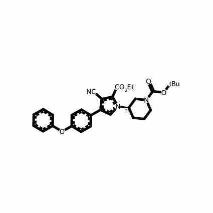 CCOC(=O)c1c(C#N)c(-c2ccc(Oc3ccccc3)cc2)cn1[C@@H]1CCCN(C(=O)OC(C)(C)C)C1